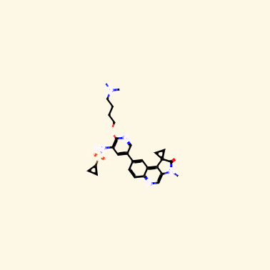 CN(C)CCCCOc1ncc(-c2ccc3ncc4c(c3c2)C2(CC2)C(=O)N4C)cc1NS(=O)(=O)C1CC1